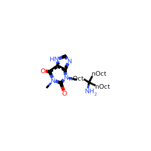 CCCCCCCCC(N)(CCCCCCCC)CCCCCCCC.Cn1c(=O)c2[nH]cnc2n(C)c1=O